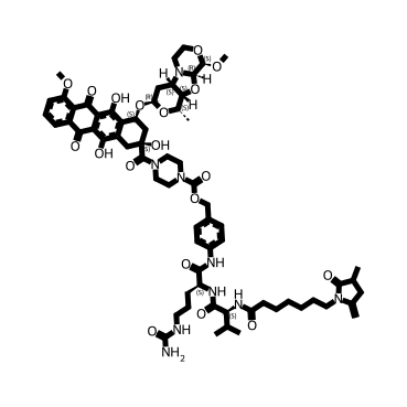 C=C1CC(C)C(=O)N1CCCCCCC(=O)N[C@H](C(=O)N[C@@H](CCCNC(N)=O)C(=O)Nc1ccc(COC(=O)N2CCN(C(=O)[C@]3(O)Cc4c(O)c5c(c(O)c4[C@@H](O[C@H]4C[C@H]6[C@H](O[C@@H]7[C@@H](OC)OCCN76)[C@H](C)O4)C3)C(=O)c3c(OC)cccc3C5=O)CC2)cc1)C(C)C